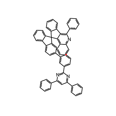 c1ccc(-c2cc(-c3ccccc3)nc(-c3cccc(-c4ccc5c(c4)C4(c6ccccc6-5)c5ccccc5-c5c(-c6ccccc6)nc6ccccc6c54)c3)n2)cc1